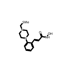 CSCN1CCN(c2ccccc2/C=C/C(=O)NO)CC1